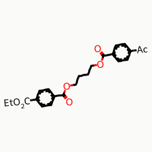 CCOC(=O)c1ccc(C(=O)OCCCCOC(=O)c2ccc(C(C)=O)cc2)cc1